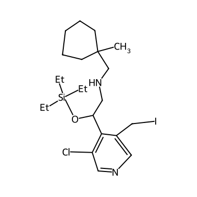 CC[Si](CC)(CC)OC(CNCC1(C)CCCCC1)c1c(Cl)cncc1CI